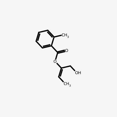 CC=C(CO)OC(=O)c1ccccc1C